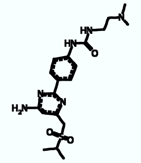 CC(C)S(=O)(=O)Cc1cc(N)nc(-c2ccc(NC(=O)NCCN(C)C)cc2)n1